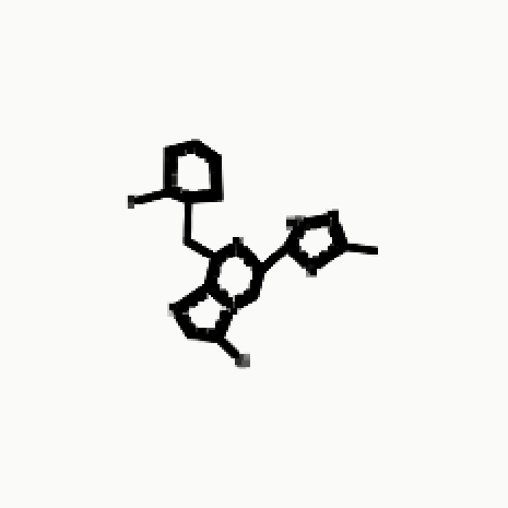 Cc1n[nH]c(-c2cn3c(Cl)cnc3c(Cc3ccccc3F)n2)n1